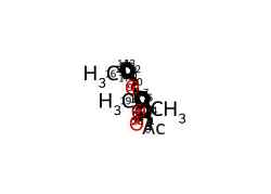 CC(=O)Cc1c(C)c2ccc(OCc3cccc(C)c3)c(C)c2oc1=O